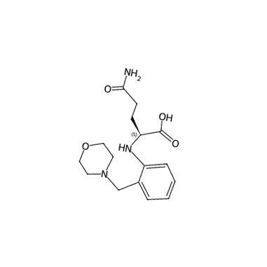 NC(=O)CC[C@H](Nc1ccccc1CN1CCOCC1)C(=O)O